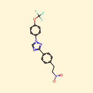 O=[N+]([O-])CCc1ccc(-c2ncn(-c3ccc(OC(F)(F)F)cc3)n2)cc1